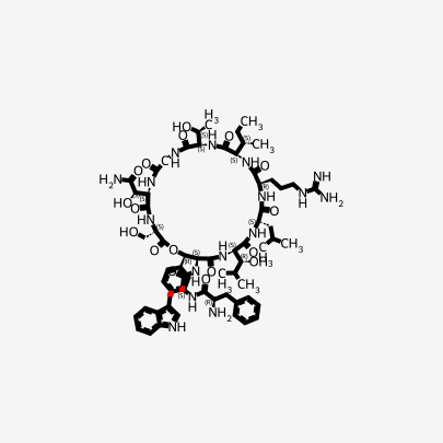 CC[C@H](C)[C@@H]1NC(=O)[C@@H](CCCNC(=N)N)NC(=O)[C@H](CC(C)C)NC(=O)[C@H]([C@H](O)C(C)C)NC(=O)[C@@H](NC(=O)[C@H](Cc2c[nH]c3ccccc23)NC(=O)[C@H](N)Cc2ccccc2)[C@@H](c2ccccc2)OC(=O)[C@H](CO)NC(=O)[C@H]([C@H](O)C(N)=O)NC(=O)CNC(=O)[C@H]([C@H](C)O)NC1=O